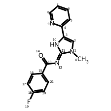 Cn1cc(-c2ccccn2)[nH]/c1=N\C(=O)c1ccc(F)cc1